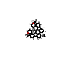 CC(C)(C)c1ccc2c(c1)[CH]([Hf+2]([CH]1c3ccccc3-c3ccc(C(C)(C)C)cc31)=[Si](c1ccccc1)c1ccccc1)c1ccccc1-2.[Cl-].[Cl-]